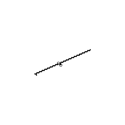 CCCCCCCCC=CCCCCCCCCCCCCCC(=O)OCCCCCCCCCCCCCCCCC(C)C